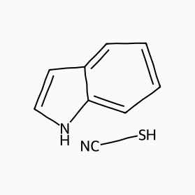 N#CS.c1ccc2[nH]ccc2c1